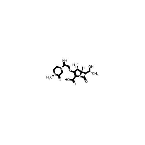 C[C@@H](O)[C@H]1C(=O)N2C(C(=O)O)=C(SCC(=N)N3CCN(C)C(=O)C3)[C@H](C)[C@H]12